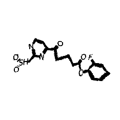 O=C(CCCC(=O)c1ccnc(C[SH](=O)=O)n1)Oc1ccccc1F